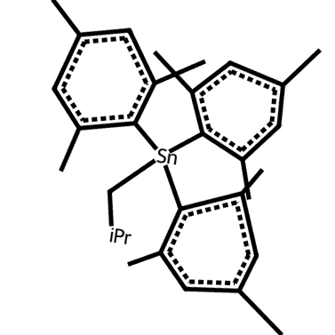 Cc1cc(C)[c]([Sn]([CH2]C(C)C)([c]2c(C)cc(C)cc2C)[c]2c(C)cc(C)cc2C)c(C)c1